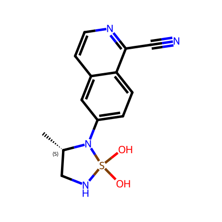 C[C@H]1CNS(O)(O)N1c1ccc2c(C#N)nccc2c1